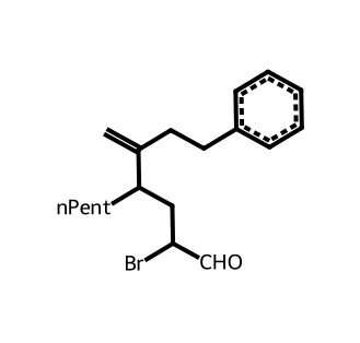 C=C(CCc1ccccc1)C(CCCCC)CC(Br)C=O